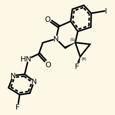 O=C(CN1C[C@]2(C[C@H]2F)c2cc(I)ccc2C1=O)Nc1ncc(F)cn1